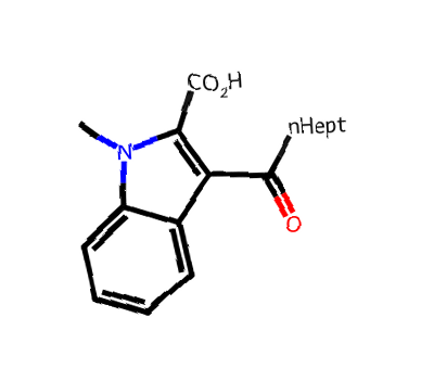 CCCCCCCC(=O)c1c(C(=O)O)n(C)c2ccccc12